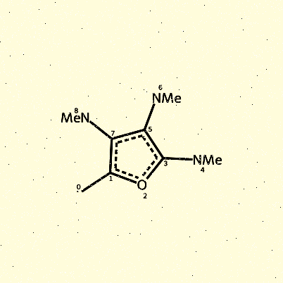 [CH2]c1oc(NC)c(NC)c1NC